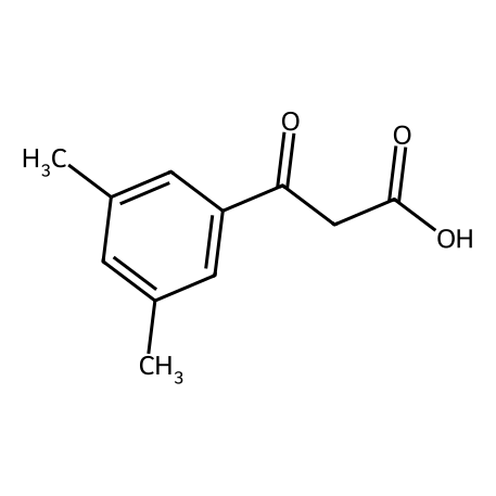 Cc1cc(C)cc(C(=O)CC(=O)O)c1